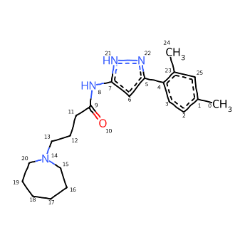 Cc1ccc(-c2cc(NC(=O)CCCN3CCCCCC3)[nH]n2)c(C)c1